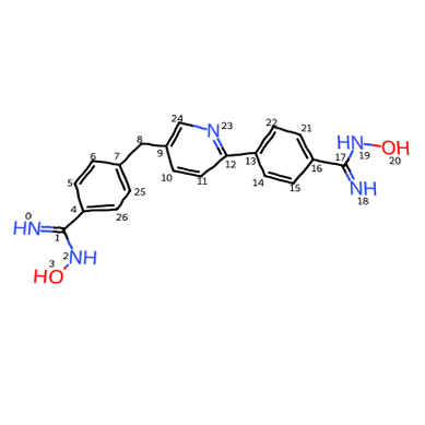 N=C(NO)c1ccc(Cc2ccc(-c3ccc(C(=N)NO)cc3)nc2)cc1